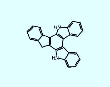 c1ccc2c(c1)Cc1c-2c2[nH]c3ccccc3c2c2c1[nH]c1ccccc12